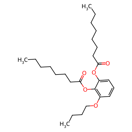 CCCCCCCC(=O)Oc1cccc(OCCCC)c1OC(=O)CCCCCCC